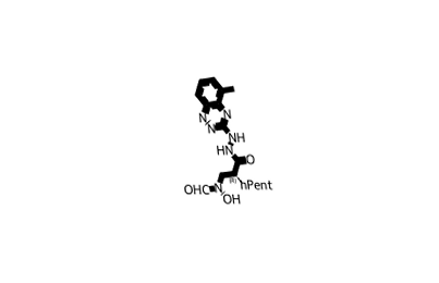 CCCCC[C@H](CN(O)C=O)C(=O)NNc1nnc2cccc(C)c2n1